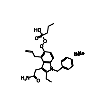 C=CCc1c(OOP(=O)(O)CCC)ccc2c1c(CC(N)=O)c(CC)n2Cc1ccccc1.[Na].[Na]